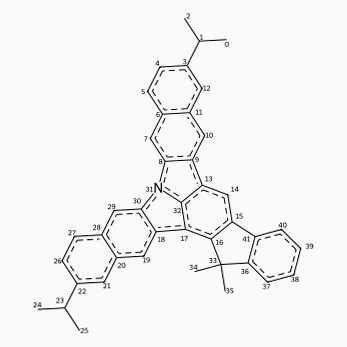 CC(C)c1ccc2cc3c(cc2c1)c1cc2c(c4c5cc6cc(C(C)C)ccc6cc5n3c14)C(C)(C)c1ccccc1-2